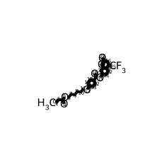 CC=CC(=O)OCCCCCCOc1ccc(C(=O)Oc2ccc3c(C(F)(F)F)cc(=O)oc3c2)cc1